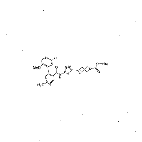 COc1cnc(Cl)cc1-c1cc(C)ncc1C(=O)Nc1nnc(C2CC3(C2)CN(C(=O)OC(C)(C)C)C3)s1